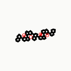 c1ccc2c(-c3ccc4ccc5oc6c(-c7ccc(-c8ccc9ccc%10oc%11c(-c%12cccc%13ccccc%12%13)ccc%12ccc%13oc8c9c%10-c%13c%12%11)c8ccccc78)ccc7ccc8oc3c4c5-c8c76)cccc2c1